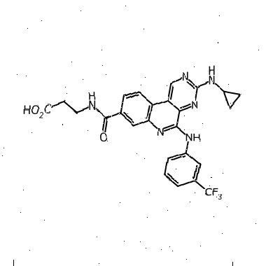 O=C(O)CCNC(=O)c1ccc2c(c1)nc(Nc1cccc(C(F)(F)F)c1)c1nc(NC3CC3)ncc12